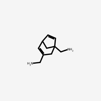 NCC1=CC2C=CC(CN)(C1)C2